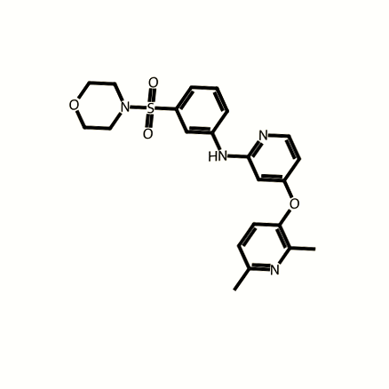 Cc1ccc(Oc2ccnc(Nc3cccc(S(=O)(=O)N4CCOCC4)c3)c2)c(C)n1